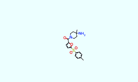 Cc1ccc(S(=O)(=O)c2ccc(C(=O)N3CCC(C)(N)CC3)o2)cc1